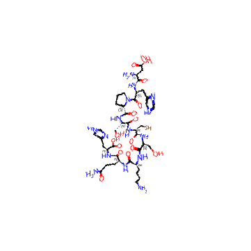 NCCCC[C@H](NC(=O)[C@H](CO)NC(=O)[C@H](CS)NC(=O)[C@H](CO)NC(=O)[C@@H]1CCCN1C(=O)[C@H](Cc1c[nH]cn1)NC(=O)[C@@H](N)CC(=O)O)C(=O)N[C@@H](CCC(N)=O)C(=O)N[C@@H](Cc1c[nH]cn1)C(=O)O